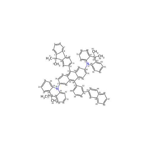 CC1(C)c2ccccc2-c2ccc(-c3c4ccc(N5c6ccccc6[Si](C)(C)c6ccccc65)cc4c(-c4cccc(-c5ccc6ccccc6c5)c4)c4ccc(N5c6ccccc6[Si](C)(C)c6ccccc65)cc34)cc21